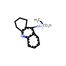 CC(=O)O.Nc1c2c(nc3ccccc13)CCCC2